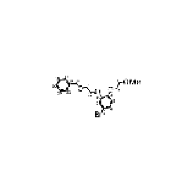 COCCOc1ccc(Br)cc1OCCOCc1ccccc1